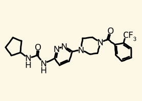 O=C(Nc1ccc(N2CCN(C(=O)c3ccccc3C(F)(F)F)CC2)nn1)NC1CCCC1